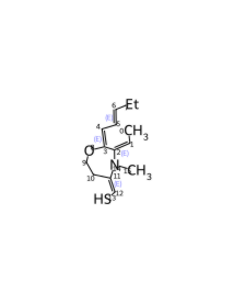 C\C=C1/C(=C\C=C\CC)OCC/C(=C\S)N1C